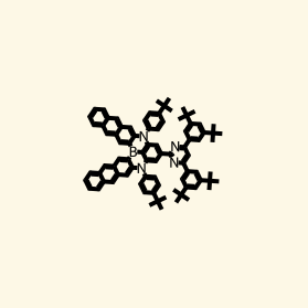 CC(C)(C)c1ccc(N2c3cc4cc5ccccc5cc4cc3B3c4cc5cc6ccccc6cc5cc4N(c4ccc(C(C)(C)C)cc4)c4cc(-c5nc(-c6cc(C(C)(C)C)cc(C(C)(C)C)c6)cc(-c6cc(C(C)(C)C)cc(C(C)(C)C)c6)n5)cc2c43)cc1